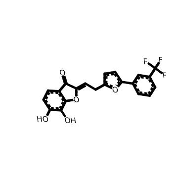 O=C1C(=CCc2ccc(-c3cccc(C(F)(F)F)c3)o2)Oc2c1ccc(O)c2O